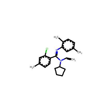 C=CN(/C(=N\c1cc(C)ccc1C)c1ccc(C)cc1Cl)C1CCCC1